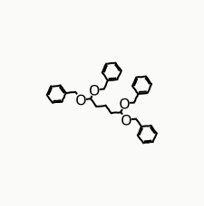 c1ccc(COC(CCCC(OCc2ccccc2)OCc2ccccc2)OCc2ccccc2)cc1